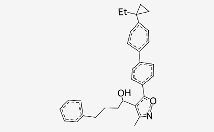 CCC1(c2ccc(-c3ccc(-c4onc(C)c4C(O)CCCc4ccccc4)cc3)cc2)CC1